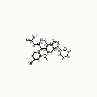 COc1cc(Br)ccc1C1c2ccc3c(cnn3C3CCCCO3)c2C[C@@H](C)N1CC(F)F